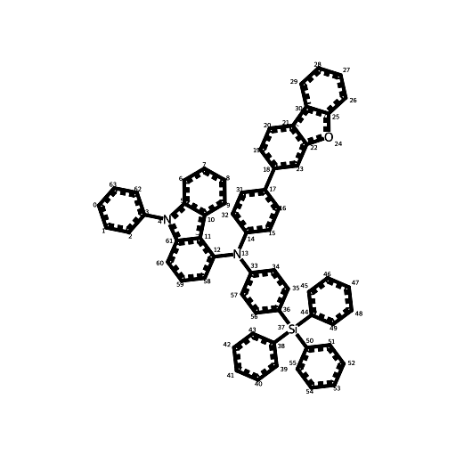 c1ccc(-n2c3ccccc3c3c(N(c4ccc(-c5ccc6c(c5)oc5ccccc56)cc4)c4ccc([Si](c5ccccc5)(c5ccccc5)c5ccccc5)cc4)cccc32)cc1